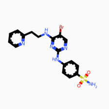 NS(=O)(=O)c1ccc(Nc2ncc(Br)c(NCCc3ccccn3)n2)cc1